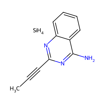 CC#Cc1nc(N)c2ccccc2n1.[SiH4]